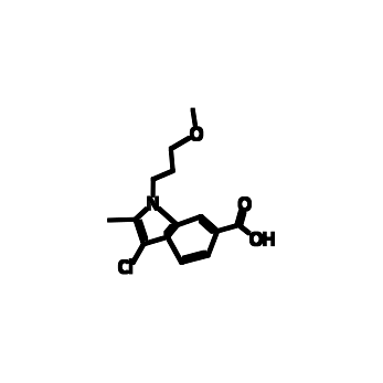 COCCCn1c(C)c(Cl)c2ccc(C(=O)O)cc21